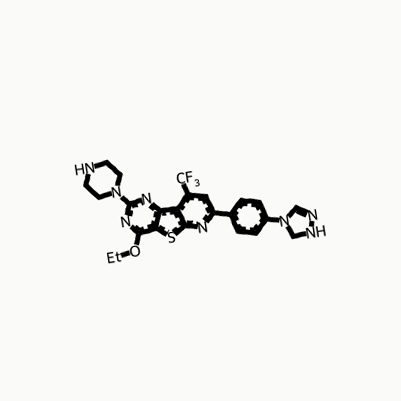 CCOc1nc(N2CCNCC2)nc2c1sc1nc(-c3ccc(N4C=NNC4)cc3)cc(C(F)(F)F)c12